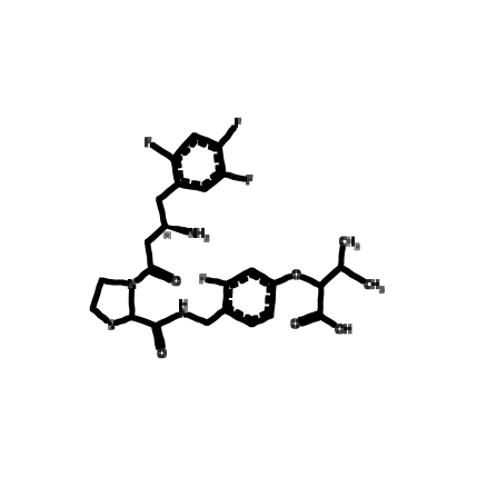 CC(C)C(Oc1ccc(CNC(=O)C2SCCN2C(=O)C[C@H](N)Cc2cc(F)c(F)cc2F)c(F)c1)C(=O)O